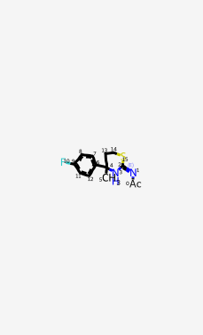 CC(=O)/N=C1\NC(C)(c2ccc(F)cc2)CCS1